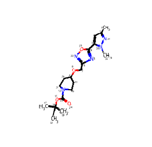 Cc1cc(-c2nc(COC3CCN(C(=O)OC(C)(C)C)CC3)no2)n(C)n1